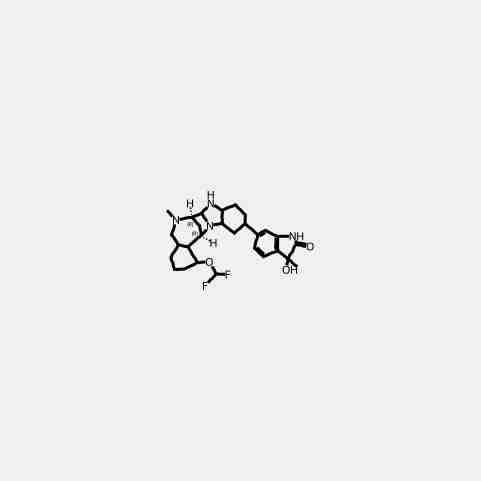 CN1CC2CCCC(OC(F)F)C2[C@H]2C[C@@H]1C1NC3CCC(c4ccc5c(c4)NC(=O)C5(C)O)CC3N12